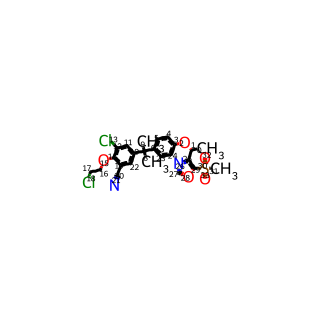 CC(Oc1ccc(C(C)(C)c2cc(Cl)c(OCCCl)c(C#N)c2)cc1)c1ncoc1S(C)(=O)=O